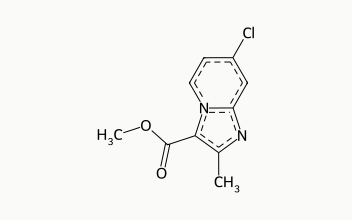 COC(=O)c1c(C)nc2cc(Cl)ccn12